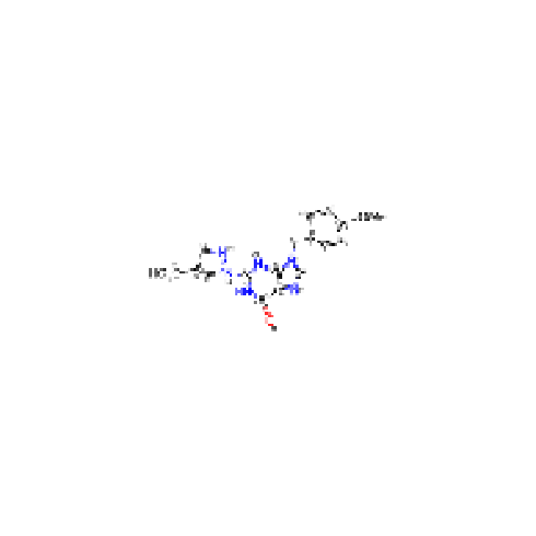 COc1ccc(Cn2cnc3c(=O)[nH]c(-n4cc(C(=O)O)cn4)nc32)cc1